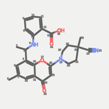 Cc1cc(C(C)Nc2ccccc2C(=O)O)c2oc(N3CCC(C)(C#N)CC3)cc(=O)c2c1